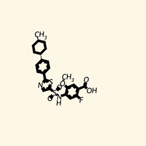 COc1cc(C(=O)O)c(F)cc1NS(=O)(=O)c1cnc(-c2ccc([C@H]3CC[C@@H](C)CC3)cc2)s1